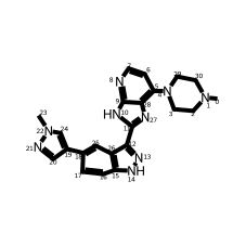 CN1CCN(c2ccnc3[nH]c(-c4n[nH]c5ccc(-c6cnn(C)c6)cc45)nc23)CC1